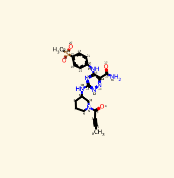 CC#CC(=O)N1CCCC(Nc2nnc(C(N)=O)c(Nc3ccc(S(C)(=O)=O)cc3)n2)C1